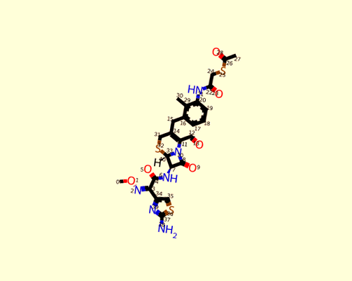 CO/N=C(\C(=O)N[C@@H]1C(=O)N2C([C]=O)=C(Cc3cccc(NC(=O)CSC(C)=O)c3C)CS[C@H]12)c1csc(N)n1